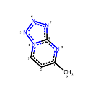 Cc1ccn2nnnc2n1